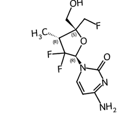 C[C@H]1C(F)(F)[C@H](n2ccc(N)nc2=O)O[C@@]1(CO)CF